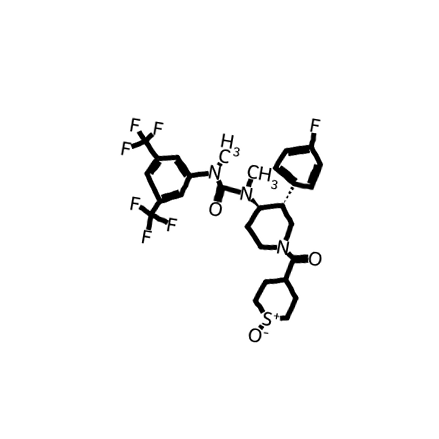 CN(C(=O)N(C)[C@@H]1CCN(C(=O)C2CC[S+]([O-])CC2)C[C@H]1c1ccc(F)cc1)c1cc(C(F)(F)F)cc(C(F)(F)F)c1